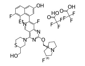 CCc1c(F)ccc2cc(O)cc(-c3ncc4c(N5CCSC(CO)C5)nc(OC[C@@]56CCCN5C[C@H](F)C6)nc4c3F)c12.O=C(O)C(F)(F)F.O=C(O)C(F)(F)F